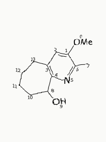 COc1cc2c(nc1C)C(O)CCCC2